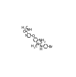 CNC(=O)c1cc(Oc2ccc(N(C)C(=S)Nc3ccc(Br)cc3)c(N)c2)ccn1